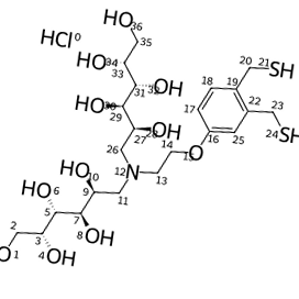 Cl.OC[C@@H](O)[C@H](O)[C@H](O)[C@@H](O)CN(CCOc1ccc(CS)c(CS)c1)C[C@H](O)[C@@H](O)[C@@H](O)[C@H](O)CO